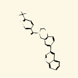 O=C(c1ccc(C(F)(F)F)nc1)N1CCOc2ccc(-c3cnc4ccccc4c3)cc2C1